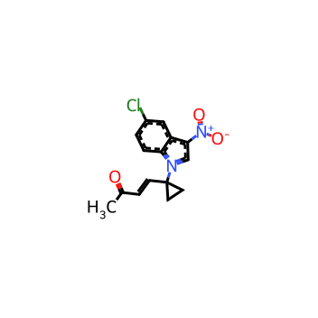 CC(=O)/C=C/C1(n2cc([N+](=O)[O-])c3cc(Cl)ccc32)CC1